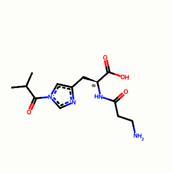 CC(C)C(=O)n1cnc(C[C@H](NC(=O)CCN)C(=O)O)c1